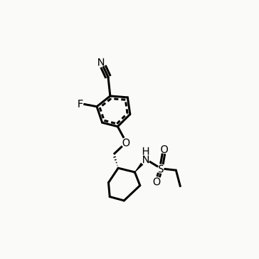 CCS(=O)(=O)N[C@H]1CCCC[C@@H]1COc1ccc(C#N)c(F)c1